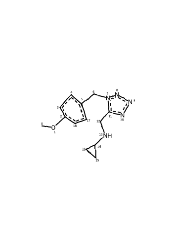 COc1ccc(Cn2nnnc2CNC2CC2)cc1